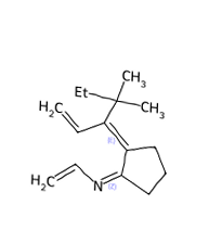 C=C/N=C1/CCC/C1=C(/C=C)C(C)(C)CC